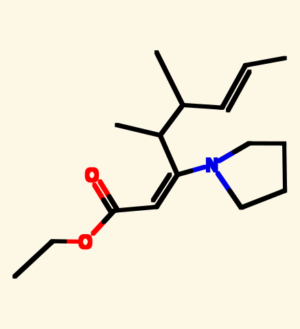 CC=CC(C)C(C)C(=CC(=O)OCC)N1CCCC1